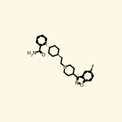 NC(=O)c1ccccc1[C@H]1CC[C@H](CCN2CCC(c3noc4ccc(F)cc34)CC2)CC1